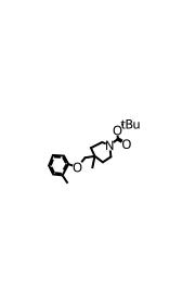 Cc1ccccc1OCC1(C)CCN(C(=O)OC(C)(C)C)CC1